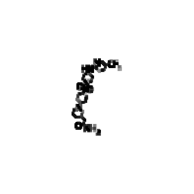 NC(=O)CC1CCCN(c2ccc(S(=O)(=O)N3CCC(Nc4ccc(C(F)(F)F)cn4)CC3)cc2)C1